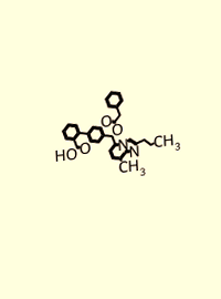 CCCc1cn2c(C(OC(=O)Cc3ccccc3)c3ccc(-c4ccccc4C(=O)O)cc3)ccc(C)c2n1